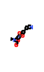 O=CC1CN(C2CC2)CC2(CCN(S(=O)(=O)c3ccc(-c4ccc5ccncc5c4)cc3)CC2)O1